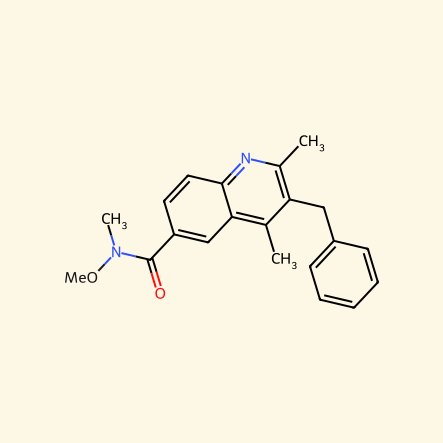 CON(C)C(=O)c1ccc2nc(C)c(Cc3ccccc3)c(C)c2c1